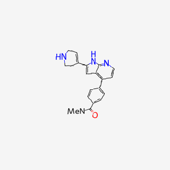 CNC(=O)c1ccc(-c2ccnc3[nH]c(C4=CCNCC4)cc23)cc1